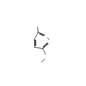 CCC(C)Oc1ccc(Cl)nn1